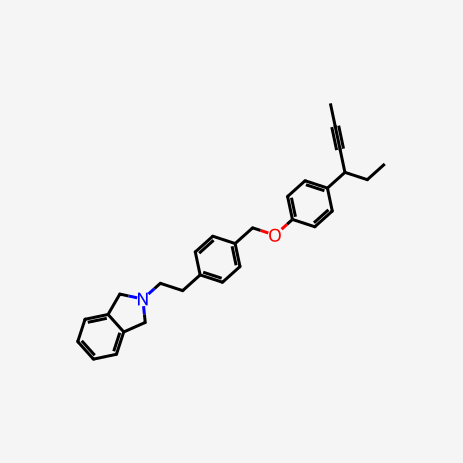 CC#CC(CC)c1ccc(OCc2ccc(CCN3Cc4ccccc4C3)cc2)cc1